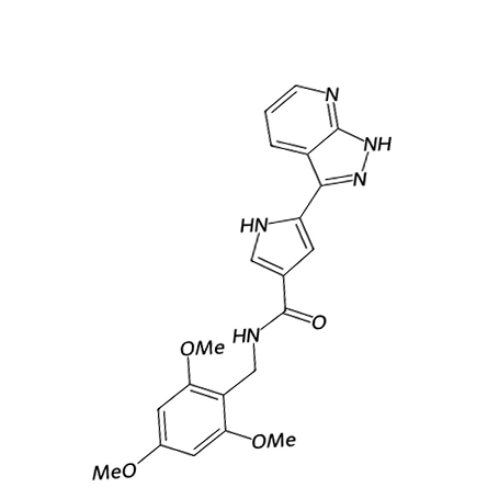 COc1cc(OC)c(CNC(=O)c2c[nH]c(-c3n[nH]c4ncccc34)c2)c(OC)c1